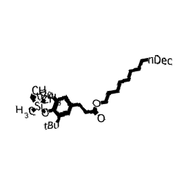 C=C[Si](C)(C)Oc1c(C(C)(C)C)cc(CCC(=O)OCCCCCCCCCCCCCCCCCC)cc1C(C)(C)C